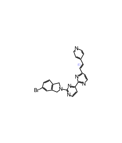 Brc1ccc2c(c1)CN(c1nccc(-c3nccc(/C=C/c4ccncc4)n3)n1)C2